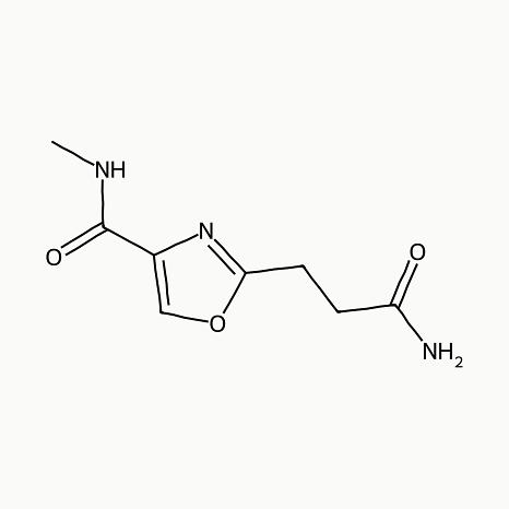 CNC(=O)c1coc(CCC(N)=O)n1